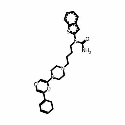 NC(=O)N(CCCCN1CCN(C2=COC=C(C3=CC=CCC3)O2)CC1)c1cc2ccccc2s1